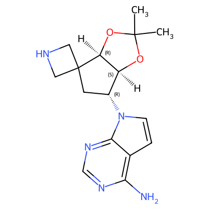 CC1(C)O[C@H]2[C@H](n3ccc4c(N)ncnc43)CC3(CNC3)[C@H]2O1